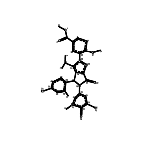 COC(=O)c1ccc(OC)c(-n2nc3c(c2C(C)C)C(c2ccc(Cl)cc2C)N(c2cc(Cl)c(=O)n(C)c2)C3=O)c1